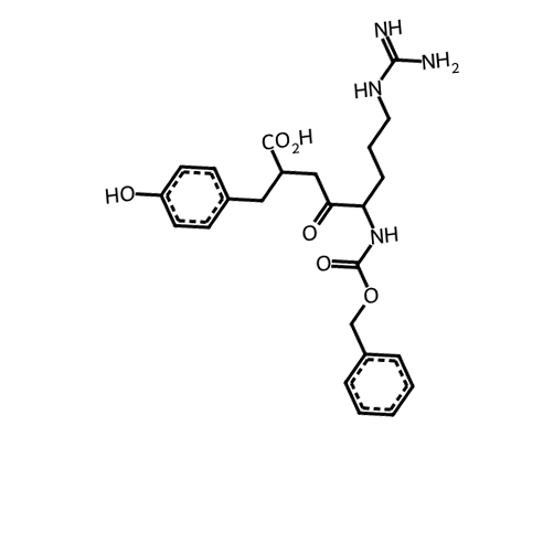 N=C(N)NCCCC(NC(=O)OCc1ccccc1)C(=O)CC(Cc1ccc(O)cc1)C(=O)O